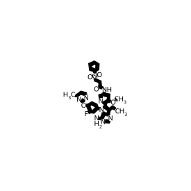 CCc1c(-c2ncc(NC(=O)CCS(=O)(=O)c3ccccc3)cc2OC)n(-c2ccc(Oc3nccc(C)n3)c(F)c2)c2c(N)ncnc12